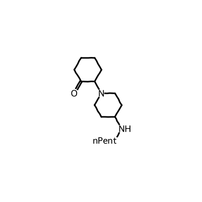 CCCCCNC1CCN(C2CCCCC2=O)CC1